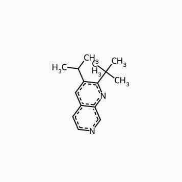 CC(C)c1cc2ccncc2nc1C(C)(C)C